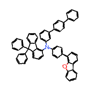 c1ccc(-c2ccc(-c3cccc(N(c4ccc(-c5cccc6c5oc5ccccc56)cc4)c4cccc5c4-c4ccccc4C5(c4ccccc4)c4ccccc4)c3)cc2)cc1